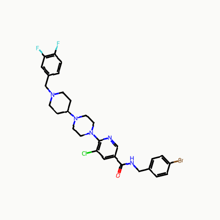 O=C(NCc1ccc(Br)cc1)c1cnc(N2CCN(C3CCN(Cc4ccc(F)c(F)c4)CC3)CC2)c(Cl)c1